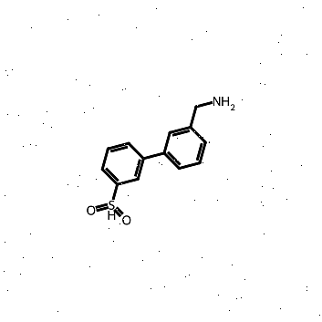 NCc1[c]ccc(-c2cccc([SH](=O)=O)c2)c1